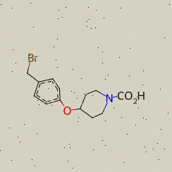 O=C(O)N1CCC(Oc2ccc(CBr)cc2)CC1